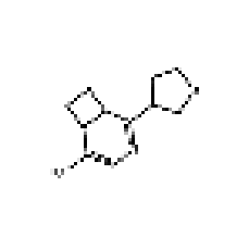 CC1=CN=C(C2CCOC2)C2CCC12